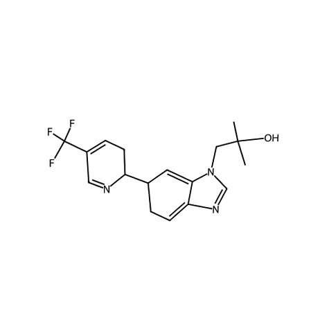 CC(C)(O)Cn1cnc2c1=CC(C1CC=C(C(F)(F)F)C=N1)CC=2